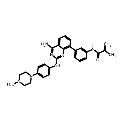 C=C(C)C(=O)Nc1cccc(-c2cccc3c(N)nc(Nc4ccc(N5CCN(C)CC5)cc4)nc23)c1